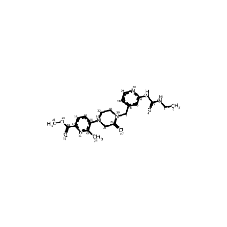 CCNC(=O)Nc1cc(CN2CCN(c3ccc(C(=O)OC)nc3C)CC2=O)ccn1